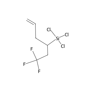 C=CCC(CC(F)(F)F)[Si](Cl)(Cl)Cl